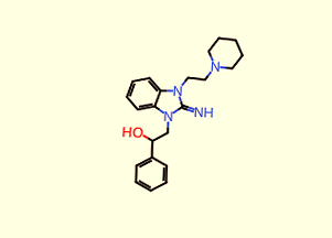 N=c1n(CCN2CCCCC2)c2ccccc2n1CC(O)c1ccccc1